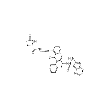 C[C@H](NC(=O)c1c(N)nn2cccnc12)c1cc2cccc(C#CCNC(=O)[C@@H]3CCC(=O)N3)c2c(=O)n1-c1ccccc1